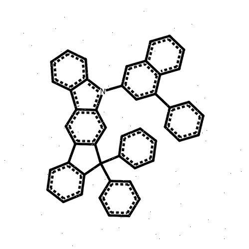 c1ccc(-c2cc(-n3c4ccccc4c4cc5c(cc43)C(c3ccccc3)(c3ccccc3)c3ccccc3-5)cc3ccccc23)cc1